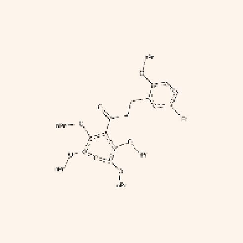 CCCOc1ccc(CC)cc1CCC(=O)c1c(OCCC)c(OCCC)cc(OCCC)c1OCCC